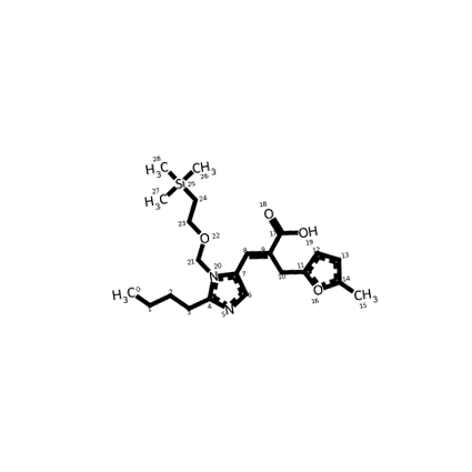 CCCCc1ncc(/C=C(\Cc2ccc(C)o2)C(=O)O)n1COCC[Si](C)(C)C